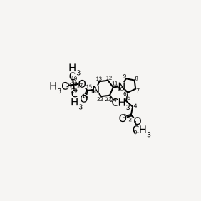 COC(=O)CC[C@@H]1CCCN1C1CCN(C(=O)OC(C)(C)C)CC1C